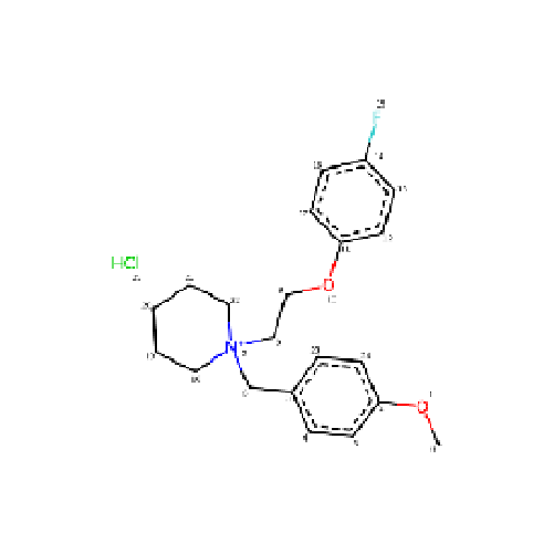 COc1ccc(C[N+]2(CCOc3ccc(F)cc3)CCCCC2)cc1.Cl